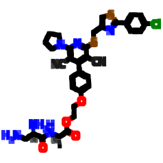 C[C@H](NC(=O)[C@@H](N)CN)C(=O)OCCOc1ccc(-c2c(C#N)c(SCc3csc(-c4ccc(Cl)cc4)n3)nc(N3CCCC3)c2C#N)cc1